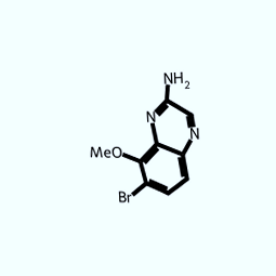 COc1c(Br)ccc2ncc(N)nc12